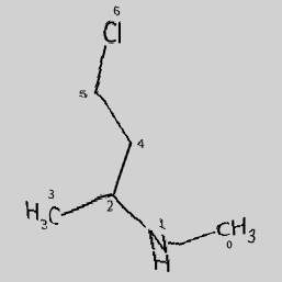 CNC(C)CCCl